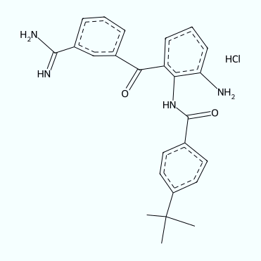 CC(C)(C)c1ccc(C(=O)Nc2c(N)cccc2C(=O)c2cccc(C(=N)N)c2)cc1.Cl